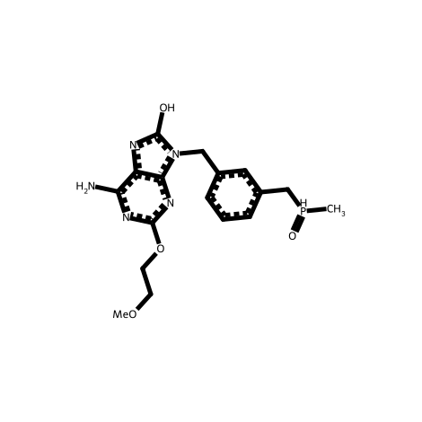 COCCOc1nc(N)c2nc(O)n(Cc3cccc(C[PH](C)=O)c3)c2n1